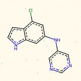 Clc1cc(Nc2cncnc2)cc2[nH]ccc12